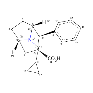 O=C(O)[C@H]1C[C@@H]2CC[C@H]([C@H]1c1ccccc1)N2CC1CC1